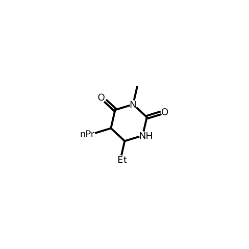 CCCC1C(=O)N(C)C(=O)NC1CC